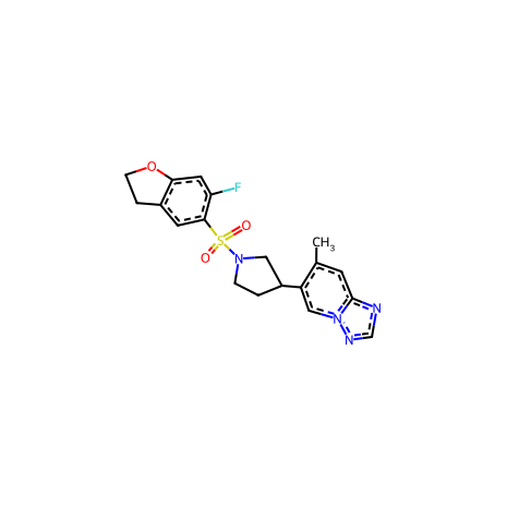 Cc1cc2ncnn2cc1C1CCN(S(=O)(=O)c2cc3c(cc2F)OCC3)C1